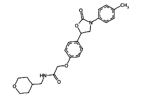 Cc1ccc(N2CC(c3ccc(OCC(=O)NCC4CCOCC4)cc3)OC2=O)cc1